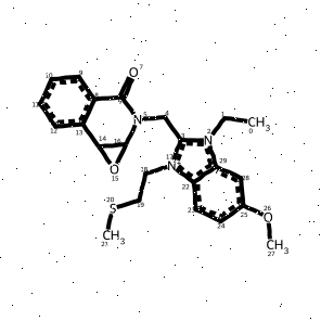 CCn1c(CN2C(=O)c3ccccc3C3OC32)[n+](CCSC)c2ccc(OC)cc21